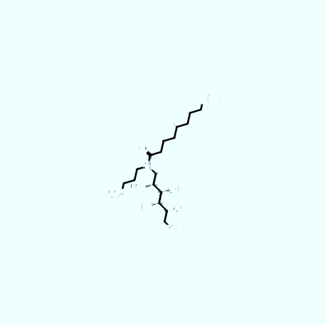 CCCCCCCCCCCCCCCCCC(=O)N(CCCOC)C[C@H](O)[C@@H](O)[C@H](O)[C@H](O)CO